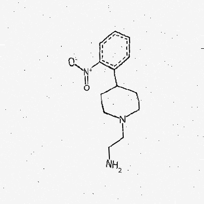 NCCN1CCC(c2ccccc2[N+](=O)[O-])CC1